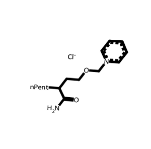 CCCCCC(CCOC[n+]1ccccc1)C(N)=O.[Cl-]